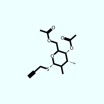 C#CCS[C@@H]1OC(COC(C)=O)[C@H](OC(C)=O)[C@H](C)C1C